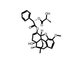 COc1ccc2c3c1O[C@H]1C(OC(=O)[C@@H](OC(=O)[C@H](C)O)c4ccccc4)=CC[C@@]4(O)[C@@H](C2)C(C)CC[C@]314